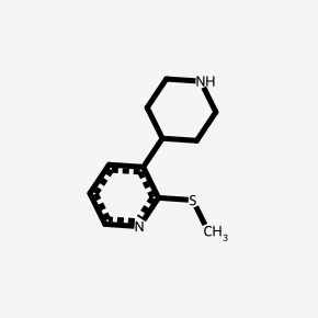 CSc1ncccc1C1CCNCC1